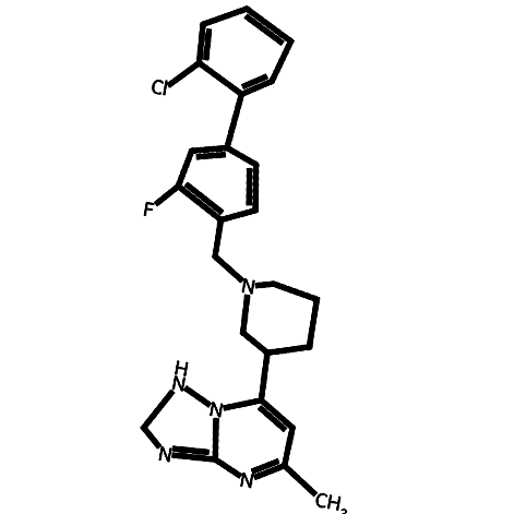 CC1=NC2=NCNN2C(C2CCCN(Cc3ccc(-c4ccccc4Cl)cc3F)C2)=C1